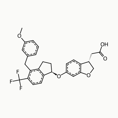 COc1cccc(Cc2c(C(F)(F)F)ccc3c2CC[C@H]3Oc2ccc3c(c2)OC[C@H]3CC(=O)O)c1